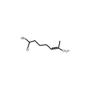 CCCCC(CC)CCCC=C(C)C(=O)O